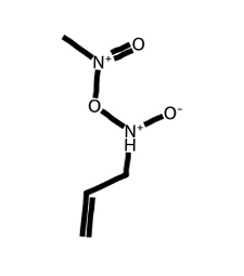 C=CC[NH+]([O-])O[N+](C)=O